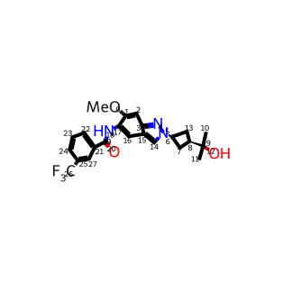 COc1cc2nn([C@H]3C[C@H](C(C)(C)O)C3)cc2cc1NC(=O)c1cccc(C(F)(F)F)c1